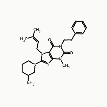 CC(C)=CCn1c(N2CCCC(N)C2)nc2c1c(=O)n(CCc1ccccc1)c(=O)n2C